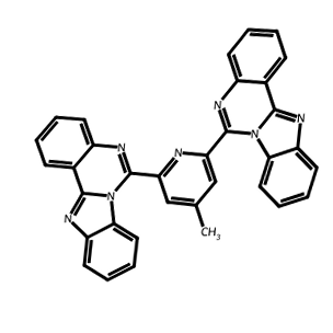 Cc1cc(-c2nc3ccccc3c3nc4ccccc4n23)nc(-c2nc3ccccc3c3nc4ccccc4n23)c1